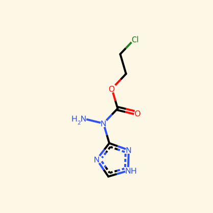 NN(C(=O)OCCCl)c1nc[nH]n1